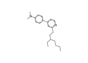 CCCCC(CC)CCc1cc(-c2ccc(N(C)C)cc2)ccn1